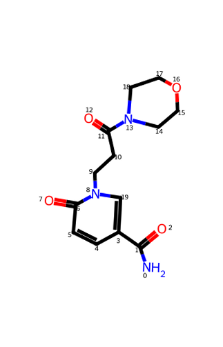 NC(=O)c1ccc(=O)n(CCC(=O)N2CCOCC2)c1